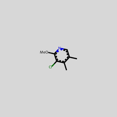 COc1ncc(C)c(C)c1Cl